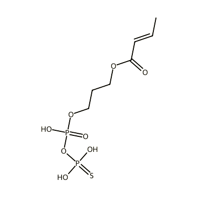 CC=CC(=O)OCCCOP(=O)(O)OP(O)(O)=S